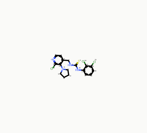 S=C(NCc1ccnc(Cl)c1N1CCCC1)Nc1cccc(Cl)c1Cl